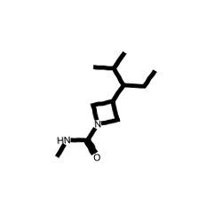 CCC(C(C)C)C1CN(C(=O)NC)C1